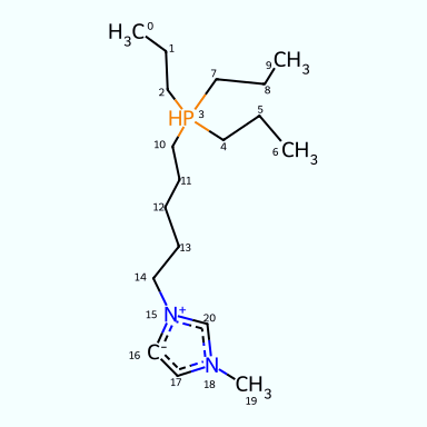 CCC[PH](CCC)(CCC)CCCCC[n+]1[c-]cn(C)c1